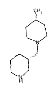 CC1CCN(C[C@H]2CCCNC2)CC1